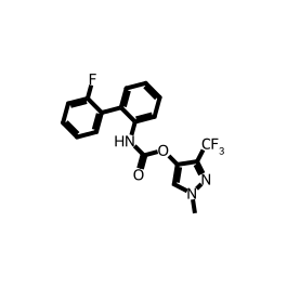 Cn1cc(OC(=O)Nc2ccccc2-c2ccccc2F)c(C(F)(F)F)n1